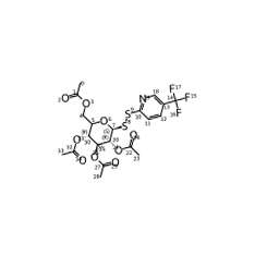 CC(=O)OCC1O[C@@H](SSc2ccc(C(F)(F)F)cn2)[C@H](OC(C)=O)[C@@H](OC(C)=O)[C@@H]1OC(C)=O